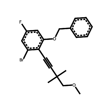 COCC(C)(C)C#Cc1c(Br)cc(F)cc1OCc1ccccc1